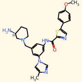 COc1ccc(-c2cnc(C(=O)Nc3cc(CN4CCC[C@H](N)C4)cc(-n4cnc(C)c4)c3)s2)cc1